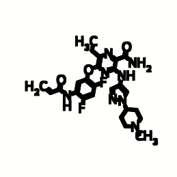 C=CC(=O)Nc1cc(Oc2nc(Nc3cnn(C4CCN(C)CC4)c3)c(C(N)=O)nc2CC)c(F)cc1F